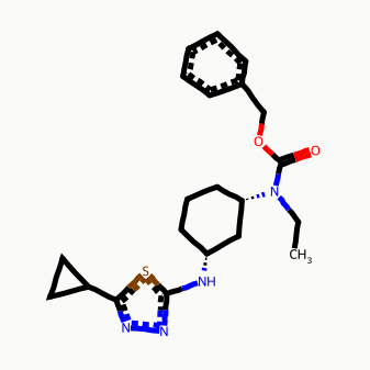 CCN(C(=O)OCc1ccccc1)[C@H]1CCC[C@@H](Nc2nnc(C3CC3)s2)C1